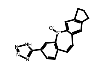 [O-][S+]1c2cc(-c3nnn[nH]3)ccc2C=Cc2cc3c(cc21)CCC3